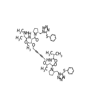 CN[C@@H](C)C(=O)N[C@H](C(=O)N1CCC[C@H]1Cn1nnnc1Sc1ccccc1)C(C)OCC#CC#CCO[C@H](C)[C@H](NC(=O)C(C)C)C(=O)N1CCCC1Cn1nnnc1Sc1ccccc1